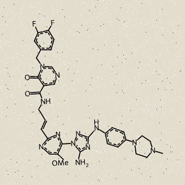 COc1cnc(C=CCNC(=O)c2cncn(Cc3ccc(F)c(F)c3)c2=O)nc1-n1nc(Nc2ccc(N3CCN(C)CC3)cc2)nc1N